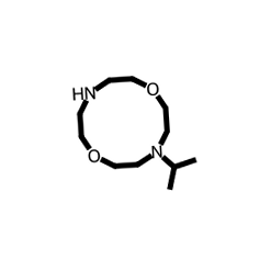 CC(C)N1CCOCCNCCOCC1